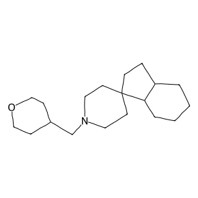 C1CCC2C(C1)CCC21CCN(CC2CCOCC2)CC1